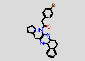 O=C(Cc1ccc(Br)cc1)Nc1nc2c(nc1CC1CCCC1)-c1ccccc1CC2